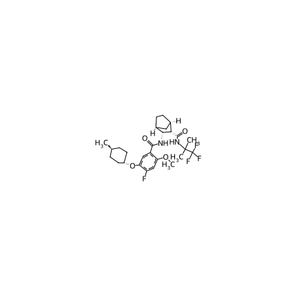 COc1cc(F)c(O[C@H]2CC[C@H](C)CC2)cc1C(=O)N[C@@H]1[C@H]2CC[C@H](C2)[C@@H]1C(=O)NC(C)(C)C(F)(F)F